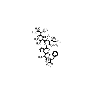 CCC(C)[C@@H]([C@@H](CC(=O)N1CCC[C@H]1[C@H](OC)[C@@H](C)C(=O)N[C@@H](Cc1ccccc1)C(=O)OC)OC)N(C)C(=O)[C@@H](NC(=O)[C@@H](NC)C(C)C)C(C)C